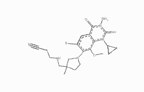 COc1c(N2CCC(C)(CNCCC#N)C2)c(F)cc2c(=O)n(N)c(=O)n(C3CC3)c12